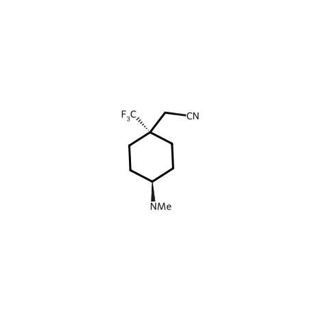 CN[C@H]1CC[C@](CC#N)(C(F)(F)F)CC1